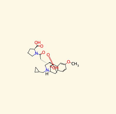 COc1ccc2c(c1)[C@]13CCN(CC4CC4)[C@H](C2)[C@]1(O)C[C@H](CC(=O)N1CCC[C@H]1C(=O)O)C(=O)C3